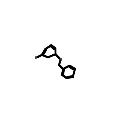 FC1=CC=C[C](OCc2ccccc2)C1